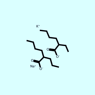 CCCCC(CC)C(=O)[O-].CCCCC(CCC)C(=O)[O-].[K+].[Na+]